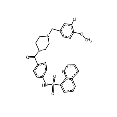 COc1ccc(CN2CCN(C(=O)c3ccc(NS(=O)(=O)c4cccc5cccnc45)cc3)CC2)cc1Cl